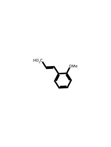 COc1c[c]ccc1C=CC(=O)O